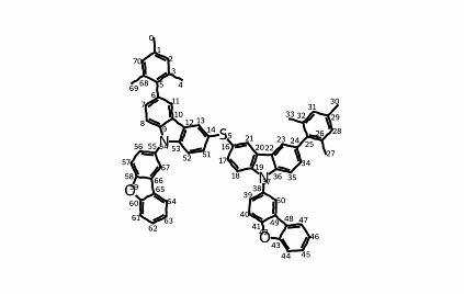 Cc1cc(C)c(-c2ccc3c(c2)c2cc(Sc4ccc5c(c4)c4cc(-c6c(C)cc(C)cc6C)ccc4n5-c4ccc5oc6ccccc6c5c4)ccc2n3-c2ccc3oc4ccccc4c3c2)c(C)c1